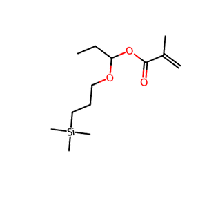 C=C(C)C(=O)OC(CC)OCCC[Si](C)(C)C